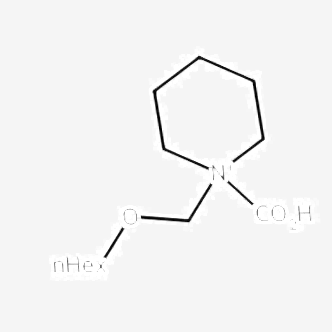 CCCCCCOC[N+]1(C(=O)O)CCCCC1